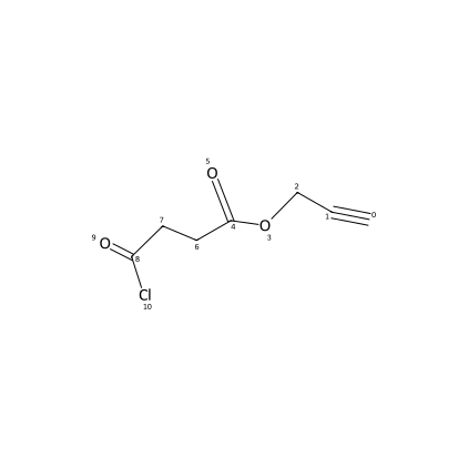 C#CCOC(=O)CCC(=O)Cl